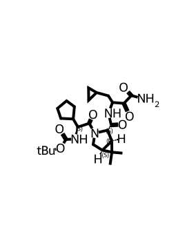 CC(C)(C)OC(=O)N[C@H](C(=O)N1C[C@H]2[C@@H]([C@H]1C(=O)NC(CC1CC1)C(=O)C(N)=O)C2(C)C)C1CCCC1